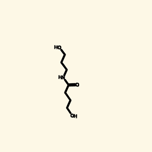 O=C(CCCO)NCCCO